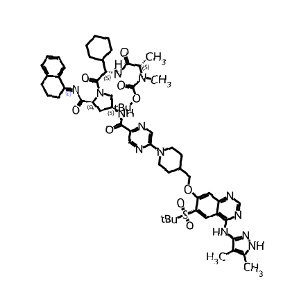 Cc1[nH]nc(Nc2ncnc3cc(OCC4CCN(c5cnc(C(=O)N[C@H]6C[C@@H](C(=O)/N=C7\CCCc8ccccc87)N(C(=O)[C@@H](NC(=O)[C@H](C)N(C)C(=O)OC(C)(C)C)C7CCCCC7)C6)cn5)CC4)c(S(=O)(=O)C(C)(C)C)cc23)c1C